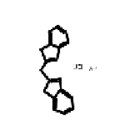 C1=C(CC2=Cc3ccccc3C2)Cc2ccccc21.[Cl-].[Cl-].[Zr+2]